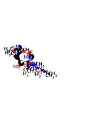 CCn1c(-c2cccnc2[C@H](C)OC)c2c3cc(ccc31)-c1cc(O)cc(c1)C[C@H](NC(=O)[C@H](C(C)C)N(C)C(=O)/C(=N/C=C(\C)NC(=O)/C=C/CN(C)C)NC)C(=O)N1CCC[C@H](N1)C(=O)OCC(C)(C)C2